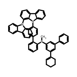 CN(c1cc(C2=CCCCC2)cc(-c2ccccc2)c1)c1ccccc1-c1ccc(-n2c3ccccc3c3cccc(-n4c5ccccc5c5ccccc54)c32)cc1